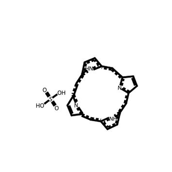 C1=Cc2cc3ccc(cc4nc(cc5ccc(cc1n2)[nH]5)C=C4)[nH]3.O=S(=O)(O)O